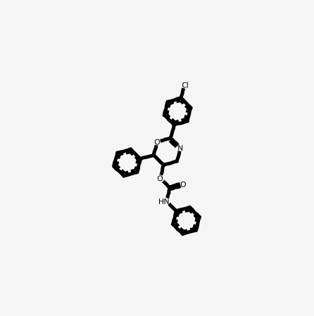 O=C(Nc1ccccc1)OC1CN=C(c2ccc(Cl)cc2)OC1c1ccccc1